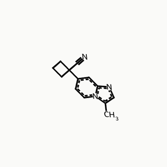 Cc1cnc2cc(C3(C#N)CCC3)ccn12